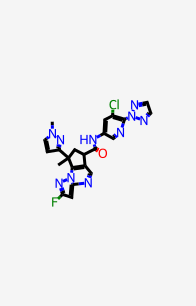 Cn1ccc(C2(C)CC(C(=O)Nc3cnc(-n4nccn4)c(Cl)c3)c3cnc4cc(F)nn4c32)n1